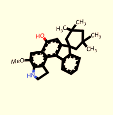 COc1cc2c(O)cc3c(c2c2c1NCC2)-c1ccccc1C31CC(C)(C)CC(C)(C)C1